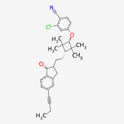 CCC#Cc1ccc2c(c1)CC(CC[C@H]1C(C)(C)[C@H](Oc3ccc(C#N)c(Cl)c3)C1(C)C)C2=O